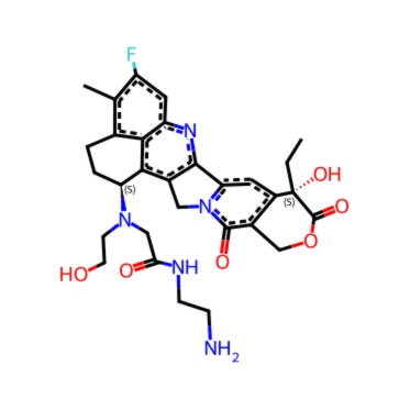 CC[C@@]1(O)C(=O)OCc2c1cc1n(c2=O)Cc2c-1nc1cc(F)c(C)c3c1c2[C@@H](N(CCO)CC(=O)NCCN)CC3